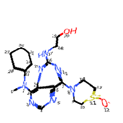 CN(c1ncnc2c(N3CC[S+]([O-])CC3)nc(NCCO)nc12)C1CCCCC1